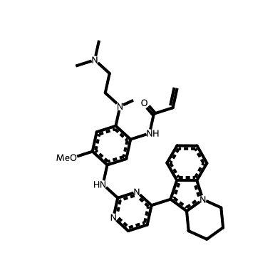 C=CC(=O)Nc1cc(Nc2nccc(-c3c4n(c5ccccc35)CCCC4)n2)c(OC)cc1N(C)CCN(C)C